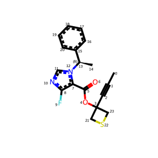 CC#CC1(OC(=O)c2c(F)ncn2[C@H](C)c2ccccc2)CSC1